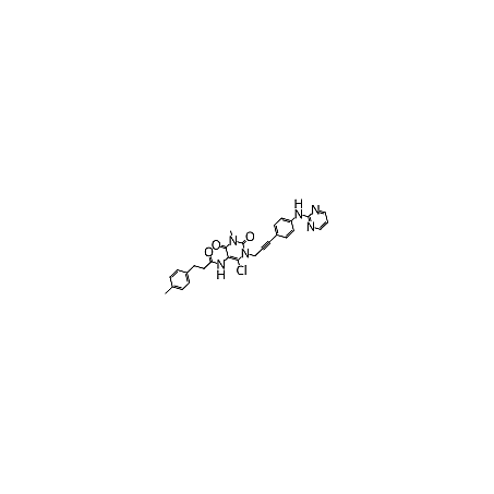 Cc1ccc(CCC(=O)Nc2c(Cl)n(CC#Cc3ccc(Nc4ncccn4)cc3)c(=O)n(C)c2=O)cc1